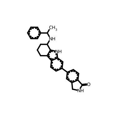 CC(NC1CCCc2c1[nH]c1cc(-c3ccc4c(c3)CNC4=O)ccc21)c1ccccc1